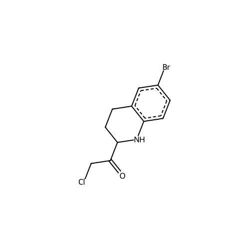 O=C(CCl)C1CCc2cc(Br)ccc2N1